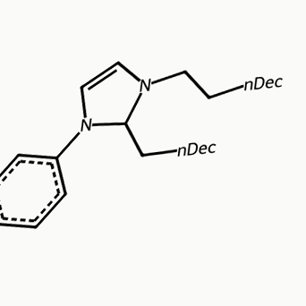 CCCCCCCCCCCCN1C=CN(c2ccccc2)C1CCCCCCCCCCC